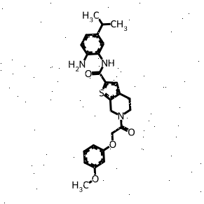 COc1cccc(OCC(=O)N2CCc3cc(C(=O)Nc4cc(C(C)C)ccc4N)sc3C2)c1